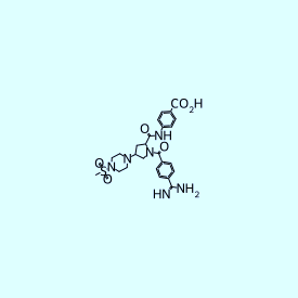 CS(=O)(=O)N1CCN(C2CC(C(=O)Nc3ccc(C(=O)O)cc3)N(C(=O)c3ccc(C(=N)N)cc3)C2)CC1